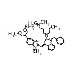 CCCN(CCCN(C)C)C1=CC(=Cc2sc3cc(C(COC)COC)ccc3[n+]2C)c2ccccc2N1Cc1ccccc1